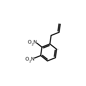 C=CCc1[c]ccc([N+](=O)[O-])c1[N+](=O)[O-]